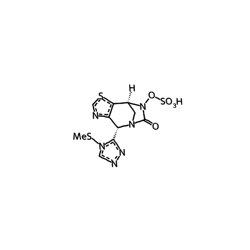 CSn1cnnc1[C@@H]1c2ncsc2[C@@H]2CN1C(=O)N2OS(=O)(=O)O